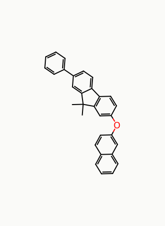 CC1(C)c2cc(Oc3ccc4ccccc4c3)ccc2-c2ccc(-c3ccccc3)cc21